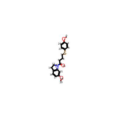 COc1ccc(SCCCC(=O)N2CCc3ccc(OC)cc32)cc1